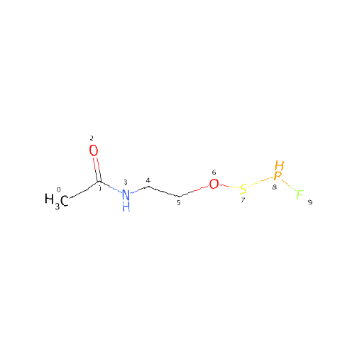 CC(=O)NCCOSPF